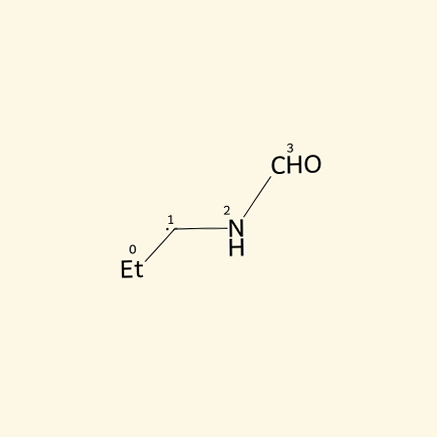 CC[CH]NC=O